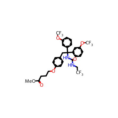 COC(=O)CCCOc1ccc(CC(NC(=O)NCC(F)(F)F)(c2cccc(OC(F)(F)F)c2)c2cccc(OC(F)(F)F)c2)cc1